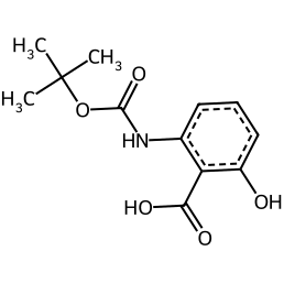 CC(C)(C)OC(=O)Nc1cccc(O)c1C(=O)O